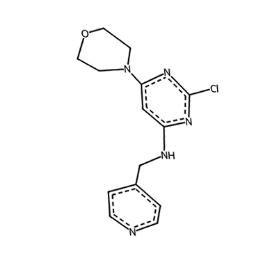 Clc1nc(NCc2ccncc2)cc(N2CCOCC2)n1